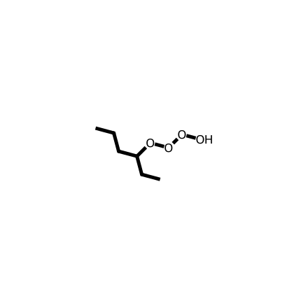 CCCC(CC)OOOO